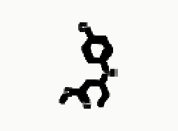 CCC(CC(=O)OC)Nc1ccc(Cl)cc1